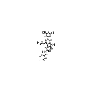 CCN1CC(c2cc(Cl)cc(Cl)c2)=Cc2[nH]c(=O)n(CC(=O)NCC3CCCCC3)c21